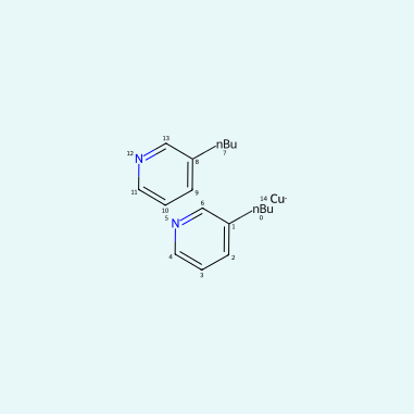 CCCCc1cccnc1.CCCCc1cccnc1.[Cu]